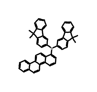 CC1(C)c2ccccc2-c2cc(N(c3ccc4c(c3)-c3ccccc3C4(C)C)c3cccc4c3ccc3c5ccccc5ccc43)ccc21